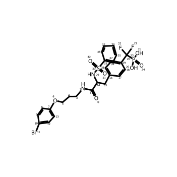 O=C(NCCCOc1ccc(Br)cc1)C(Cc1ccc(C(F)(F)P(=O)(O)O)cc1)NS(=O)(=O)c1ccccc1